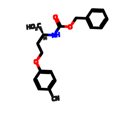 N#Cc1ccc(OCC[C@@H](NC(=O)OCc2ccccc2)C(=O)O)cc1